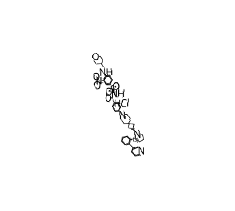 Cl.O=C(NS(=O)(=O)c1ccc(NCC2CCOCC2)c([N+](=O)[O-])c1)c1ccc(N2CCC3(CC2)CC(N2CCC[C@H]2c2ccccc2-c2cccnc2)C3)cc1